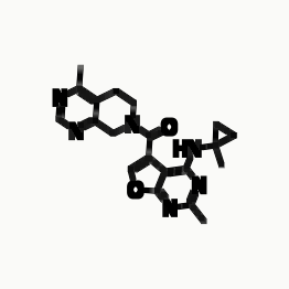 Cc1nc(NC2(C)CC2)c2c(C(=O)N3CCc4c(C)ncnc4C3)coc2n1